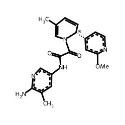 COc1cc([C@H]2C=CC(C)=CN2C(=O)C(=O)Nc2cnc(N)c(C)c2)ccn1